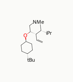 C=C[C@H](C(CNC)O[C@H]1CC[C@H](C(C)(C)C)CC1)[C@H](C)C(C)C